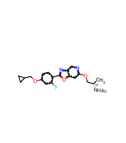 CC(=O)N[C@@H](C)COc1cc2oc(-c3ccc(OCC4CC4)cc3F)nc2cn1